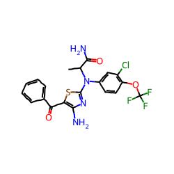 CC(C(N)=O)N(c1ccc(OC(F)(F)F)c(Cl)c1)c1nc(N)c(C(=O)c2ccccc2)s1